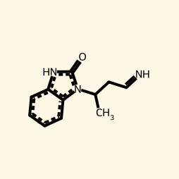 CC(CC=N)n1c(=O)[nH]c2ccccc21